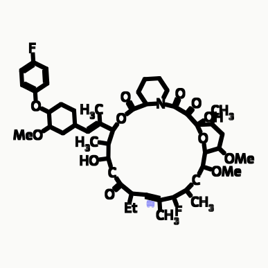 CCC1/C=C(\C)C(F)C(C)CC(OC)C2OC(O)(C(=O)C(=O)N3CCCCC3C(=O)OC(C(C)=CC3CCC(Oc4ccc(F)cc4)C(OC)C3)C(C)C(O)CC1=O)C(C)CC2OC